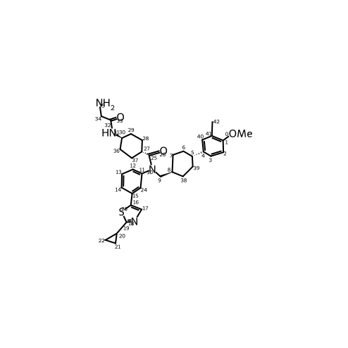 COc1ccc([C@H]2CC[C@H](CN(c3cccc(-c4cnc(C5CC5)s4)c3)C(=O)[C@H]3CC[C@H](NC(=O)CN)CC3)CC2)cc1C